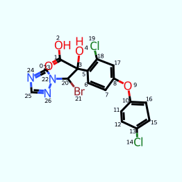 O=C(O)C(O)(c1ccc(Oc2ccc(Cl)cc2)cc1Cl)C(Br)n1cncn1